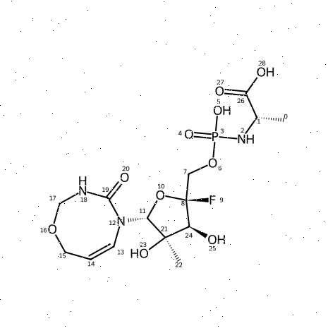 C[C@H](NP(=O)(O)OC[C@@]1(F)O[C@@H](N2/C=C\COCNC2=O)[C@](C)(O)[C@@H]1O)C(=O)O